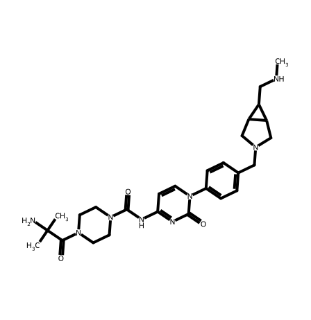 CNCC1C2CN(Cc3ccc(-n4ccc(NC(=O)N5CCN(C(=O)C(C)(C)N)CC5)nc4=O)cc3)CC12